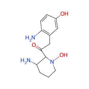 Nc1ccc(O)cc1CC(=O)C1C(N)CCCN1O